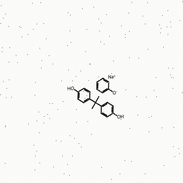 CC(C)(c1ccc(O)cc1)c1ccc(O)cc1.[Na+].[O-]c1ccccc1